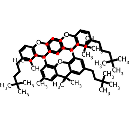 Cc1cc(P2c3cc(CCCC(C)(C)C)ccc3Oc3ccc(CCC(C)(C)C)cc32)c2c(c1)C(C)(C)c1cc(CCC(C)(C)C)cc(P3c4cc(CCCC(C)(C)C)ccc4Oc4ccc(CCC(C)C)cc43)c1O2